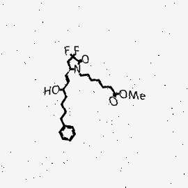 COC(=O)CCCCCCN1C(=O)C(F)(F)C[C@@H]1/C=C/C(O)CCCCc1ccccc1